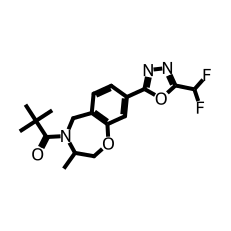 CC1COc2cc(-c3nnc(C(F)F)o3)ccc2CN1C(=O)C(C)(C)C